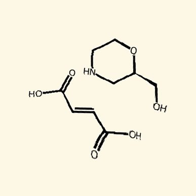 O=C(O)C=CC(=O)O.OC[C@H]1CNCCO1